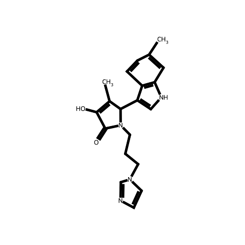 CC1=C(O)C(=O)N(CCCn2ccnc2)C1c1c[nH]c2cc(C)ccc12